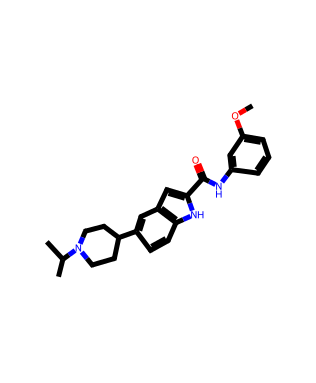 COc1cccc(NC(=O)c2cc3cc(C4CCN(C(C)C)CC4)ccc3[nH]2)c1